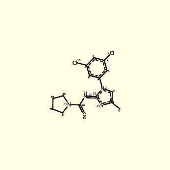 Cc1cn(-c2cc(Cl)cc(Cl)c2)/c(=N/C(=O)N2CCCC2)s1